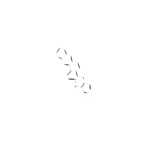 Cc1ccc2c(c1)C(=O)c1ccc3c(ccc4cc5ccccc5cc43)c1C2=O